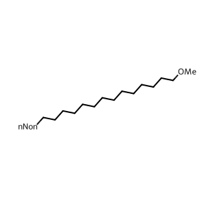 [CH2]OCCCCCCCCCCCCCCCCCCCCCCC